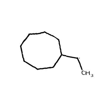 C[CH]C1CCCCCCC1